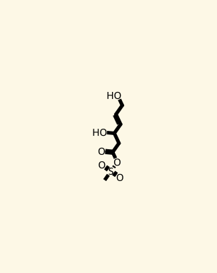 CS(=O)(=O)OC(=O)CC(O)C=CCO